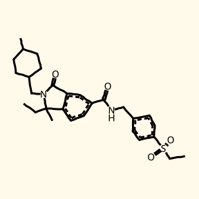 CCC1(C)c2ccc(C(=O)NCc3ccc(S(=O)(=O)CC)cc3)cc2C(=O)N1CC1CCC(C)CC1